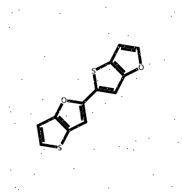 c1cc2sc(-c3cc4sccc4o3)cc2o1